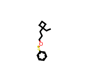 CCC1(CCCOSc2ccccc2)CCC1